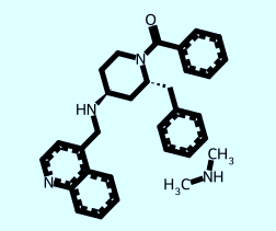 CNC.O=C(c1ccccc1)N1CC[C@H](NCc2ccnc3ccccc23)C[C@H]1Cc1ccccc1